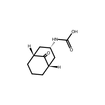 O=C(O)N[C@H]1C[C@H]2CCC[C@@H](C1)C2=O